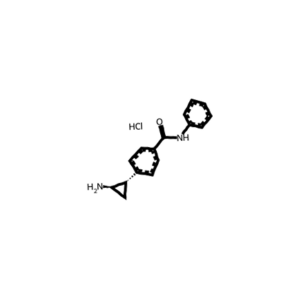 Cl.N[C@@H]1C[C@H]1c1ccc(C(=O)Nc2ccccc2)cc1